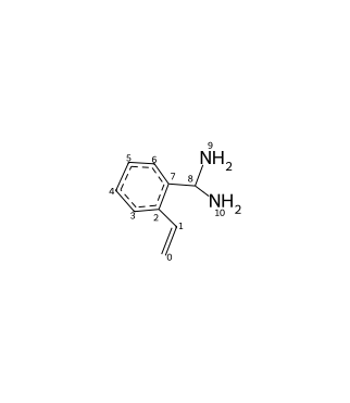 C=Cc1ccccc1C(N)N